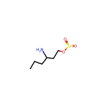 CCCC(N)CCO[SH](=O)=O